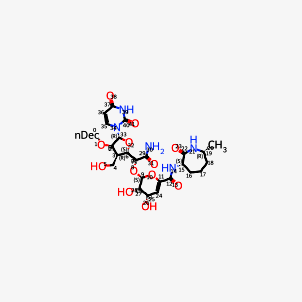 CCCCCCCCCCO[C@@H]1[C@H](CO)[C@@H]([C@@H](O[C@H]2OC(C(=O)N[C@H]3CCC[C@@H](C)NC3=O)=C[C@H](O)[C@@H]2O)C(N)=O)O[C@H]1n1ccc(=O)[nH]c1=O